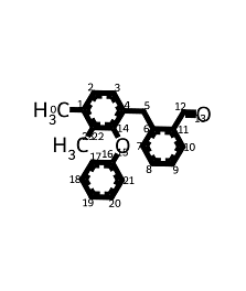 Cc1ccc(Cc2ccccc2C=O)c(Oc2ccccc2)c1C